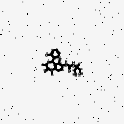 CC1N=C(c2ccccc2Cl)c2c(ccc(NC(=O)NC(C)(CO)CO)c2Br)N(C)C1=O